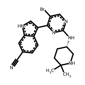 CC1(C)CC[C@H](Nc2ncc(Br)c(-c3c[nH]c4cc(C#N)ccc34)n2)CN1